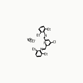 CCc1cccc(CC)c1N=Cc1cc(Cl)cc(C=Nc2c(CC)cccc2CC)n1.[Cl-].[Cl-].[Cl-].[V+3]